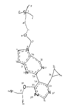 C[Si](C)(C)CCOCn1ccc2nc(-c3c(OC(F)F)ncnc3C3CC3)ncc21